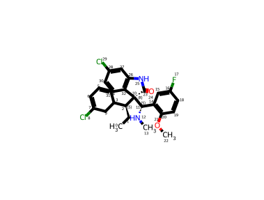 CC[C@@H](C1C=CC=C(Cl)C1)[C@@]1([C@@H](NC)c2cc(F)ccc2OC)C(=O)Nc2cc(Cl)ccc21